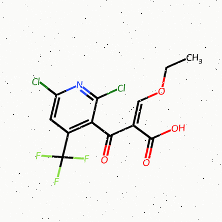 CCOC=C(C(=O)O)C(=O)c1c(C(F)(F)F)cc(Cl)nc1Cl